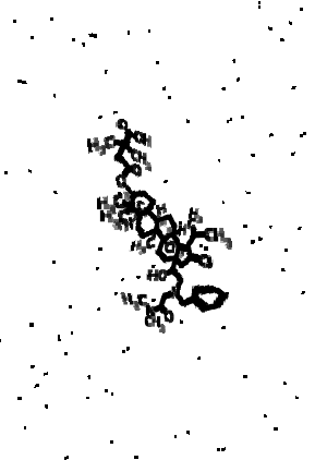 CC(C)C1=C2[C@H]3CC[C@@H]4[C@@]5(C)CC[C@H](OC(=O)CC(C)(C)C(=O)O)C(C)(C)[C@@H]5CC[C@@]4(C)[C@]3(C)CCC2(C(O)CN(CC(=O)N(C)C)Cc2ccccc2)CC1=O